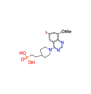 COc1cc(I)cc2c(N3CCC(CCP(=O)(O)O)CC3)ncnc12